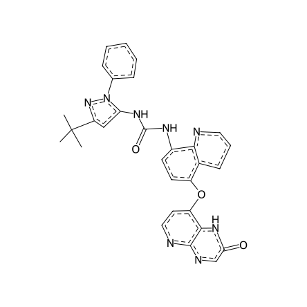 CC(C)(C)c1cc(NC(=O)Nc2ccc(Oc3ccnc4ncc(=O)[nH]c34)c3cccnc23)n(-c2ccccc2)n1